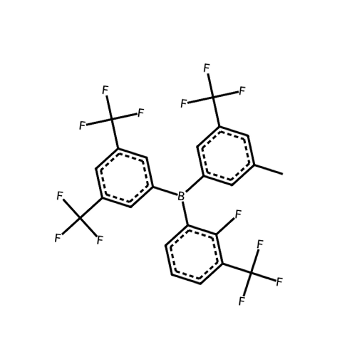 Cc1cc(B(c2cc(C(F)(F)F)cc(C(F)(F)F)c2)c2cccc(C(F)(F)F)c2F)cc(C(F)(F)F)c1